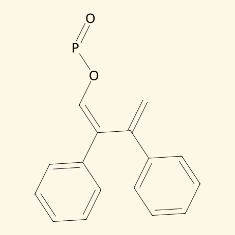 C=C(C(=COP=O)c1ccccc1)c1ccccc1